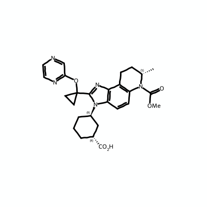 COC(=O)N1c2ccc3c(nc(C4(Oc5cnccn5)CC4)n3[C@@H]3CCC[C@@H](C(=O)O)C3)c2CC[C@@H]1C